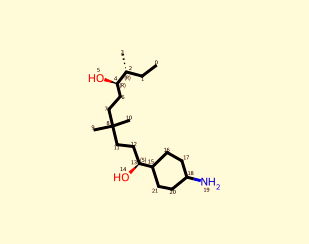 CC[C@@H](C)[C@H](O)CCC(C)(C)CC[C@H](O)C1CCC(N)CC1